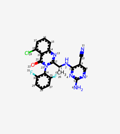 C[C@@H](Nc1nc(N)ncc1C#N)c1nc2cccc(Cl)c2c(=O)n1-c1c(F)cccc1F